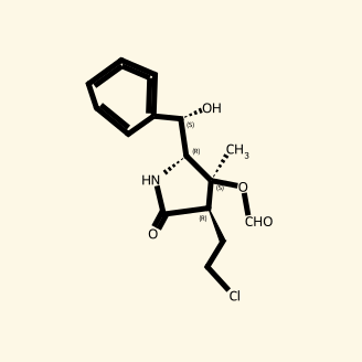 C[C@@]1(OC=O)[C@@H]([C@@H](O)C2=C=C=CC=C2)NC(=O)[C@@H]1CCCl